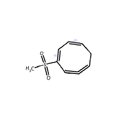 CS(=O)(=O)/C1=C/C=C\CC=C=C1